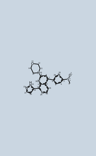 C[S+]([O-])c1ccc(-c2cc(N3CCOCC3)nc3c(-c4ccn[nH]4)nccc23)cn1